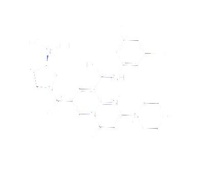 CC(Nc1cc(F)cc(F)c1)c1cc(C(=O)N2CC[C@@H](N(C)C)C2)cn2c(=O)cc(N3CCOCC3)nc12